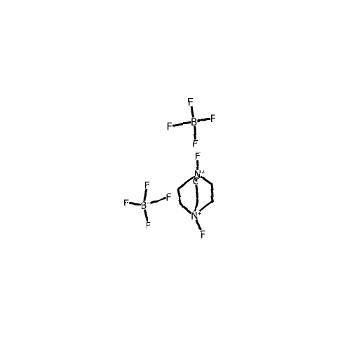 F[B-](F)(F)F.F[B-](F)(F)F.F[N+]12CC[N+](F)(CC1)CC2